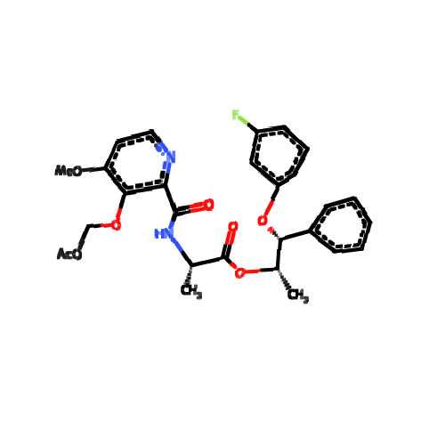 COc1ccnc(C(=O)N[C@@H](C)C(=O)O[C@@H](C)[C@H](Oc2cccc(F)c2)c2ccccc2)c1OCOC(C)=O